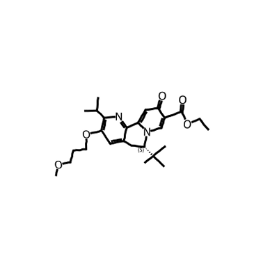 CCOC(=O)c1cn2c(cc1=O)-c1nc(C(C)C)c(OCCCOC)cc1C[C@H]2C(C)(C)C